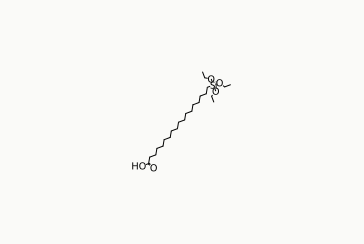 CCO[Si](CCCCCCCCCCCCCCCCCC(=O)O)(OCC)OCC